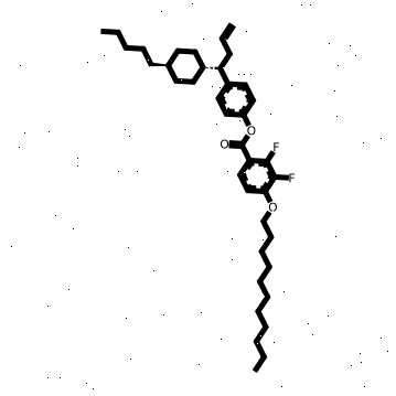 C=CCC(c1ccc(OC(=O)c2ccc(OCCCCCCCCCCC)c(F)c2F)cc1)[C@H]1CC[C@H](CCCCC)CC1